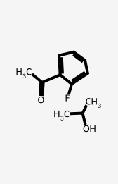 CC(=O)c1ccccc1F.CC(C)O